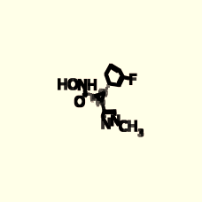 Cn1cc([C@H]2[C@H](C(=O)NO)[C@@H]2C2C=C(F)C=CC2)cn1